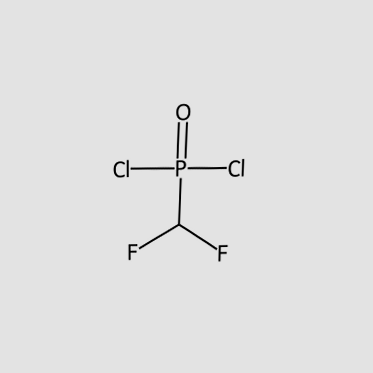 O=P(Cl)(Cl)C(F)F